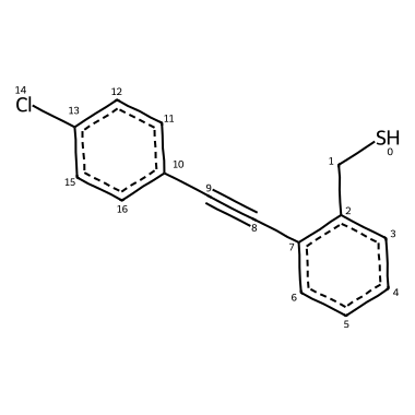 SCc1ccccc1C#Cc1ccc(Cl)cc1